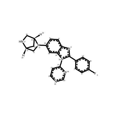 Fc1ccc(-c2nc3ccc(N4C[C@H]5C[C@@H]4CN5)cc3n2-c2ccncn2)cc1